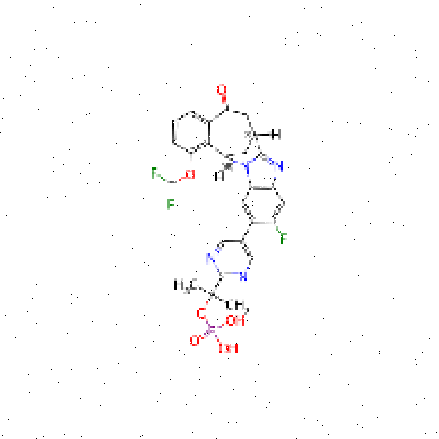 CC(C)(OP(=O)(O)O)c1ncc(-c2cc3c(cc2F)nc2n3[C@@H]3C[C@@H]2CC(=O)c2cccc(OC(F)F)c23)cn1